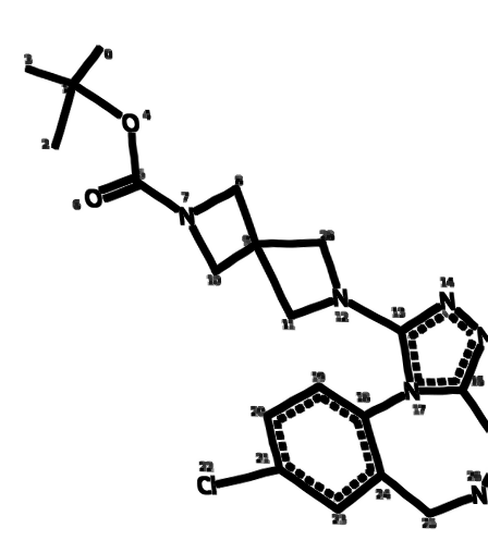 CC(C)(C)OC(=O)N1CC2(C1)CN(c1nnc3n1-c1ccc(Cl)cc1CNC3)C2